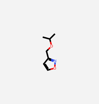 CC(C)OCc1ccon1